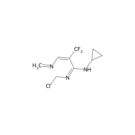 C=N/C=C(\C(=N/CCl)NC1CC1)C(F)(F)F